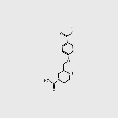 COC(=O)c1ccc(OCC2CN(C(=O)O)CCN2)cc1